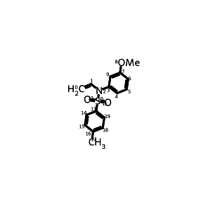 C=CN(c1cccc(OC)c1)S(=O)(=O)c1ccc(C)cc1